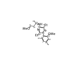 CCc1nc(-c2c(C)cc(C)cc2OC)c(CC)nc1NC(C)CCOC